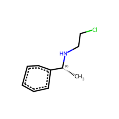 C[C@@H](NCCCl)c1ccccc1